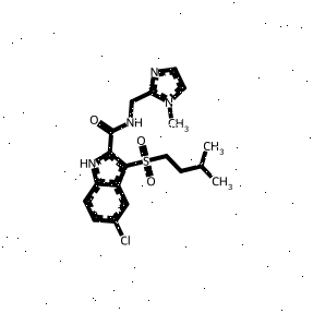 CC(C)CCS(=O)(=O)c1c(C(=O)NCc2nccn2C)[nH]c2ccc(Cl)cc12